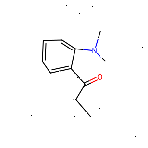 C[CH]C(=O)c1ccccc1N(C)C